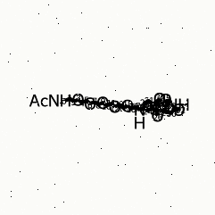 CC(=O)NCCOCCOCCOCCOCCOCCNc1ccc2c(c1)C(=O)N(C1CCC(=O)NC1=O)C2=O